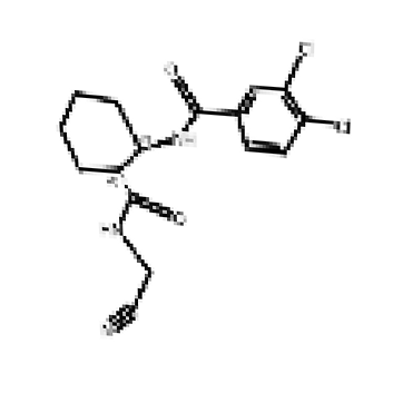 N#CCNC(=O)[C@@H]1CCCC[C@H]1NC(=O)c1ccc(Cl)c(Cl)c1